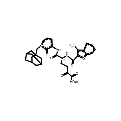 CNC(=O)C(=O)CC[C@H](NC(=O)c1oc2ccccc2c1C)C(=O)Nc1cccn(CC23CC4CC(CC(C4)C2)C3)c1=O